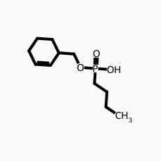 CCCCP(=O)(O)OCC1C=CCCC1